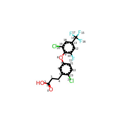 O=C(O)CCc1cc(Oc2c(F)cc(C(F)(F)F)cc2Cl)ccc1Cl